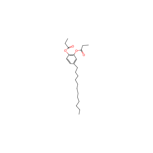 CCCCCCCCCCCCc1ccc(OC(=O)CC)c(OC(=O)CC)c1